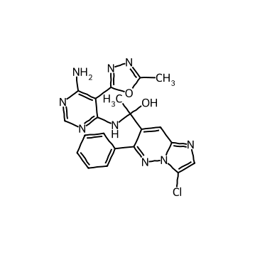 Cc1nnc(-c2c(N)ncnc2NC(C)(O)c2cc3ncc(Cl)n3nc2-c2ccccc2)o1